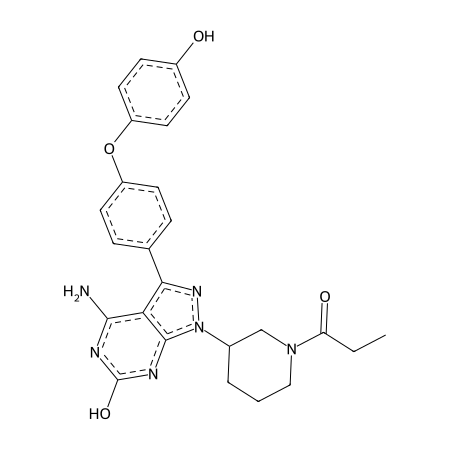 CCC(=O)N1CCCC(n2nc(-c3ccc(Oc4ccc(O)cc4)cc3)c3c(N)nc(O)nc32)C1